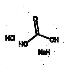 Cl.O=C(O)O.[NaH]